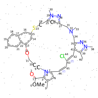 COC(=O)c1c(C)cc2n1CCCOc1cc(cc3ccccc13)SCc1cc(nn1C)CN(C)Cc1nn(C)c(C)c1/C=C(Cl)/C=C\2